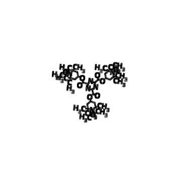 CON1C(C)(C)CC(OC(=O)c2nc(C(=O)OC3CC(C)(C)N(OC)C(C)(C)C3)nc(C(=O)OC3CC(C)(C)N(OC)C(C)(C)C3)n2)CC1(C)C